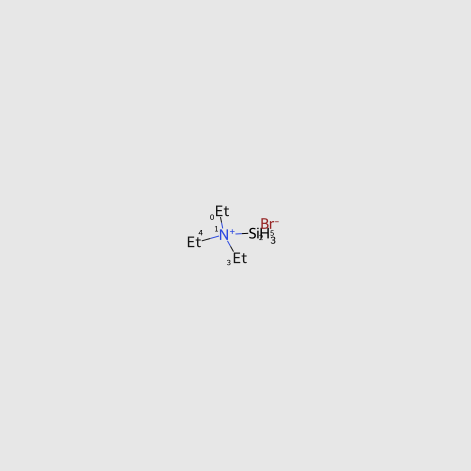 CC[N+]([SiH3])(CC)CC.[Br-]